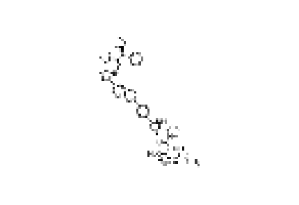 COC(=O)N[C@H](C(=O)N1CCCC1c1ncc(-c2ccc(-c3ccc4cc(-c5cnc(C6CCCN6C(=O)C(c6ccccc6)N6CCCC6)[nH]5)ccc4c3)cc2)[nH]1)C(C)C